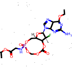 CCOC1=NC(N)=NC2C1N=CN2[C@@H]1O[C@@H]2COP(=O)(NCC(=O)OC(C)C)OCOC(=O)OC2[C@]1(C)F